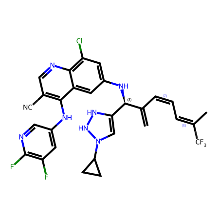 C=C(/C=C\C=C(/C)C(F)(F)F)[C@H](Nc1cc(Cl)c2ncc(C#N)c(Nc3cnc(F)c(F)c3)c2c1)C1=CN(C2CC2)NN1